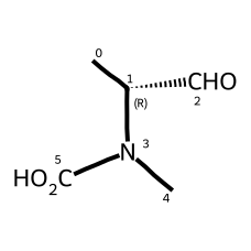 C[C@H](C=O)N(C)C(=O)O